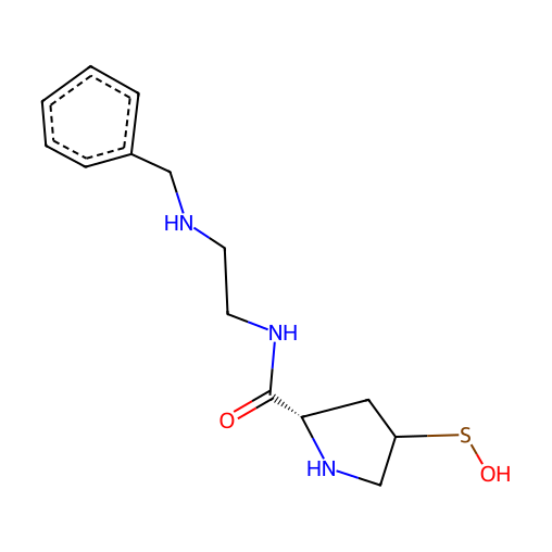 O=C(NCCNCc1ccccc1)[C@@H]1CC(SO)CN1